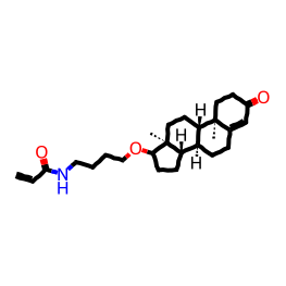 C=CC(=O)NCCCCOC1CC[C@H]2[C@@H]3CCC4=CC(=O)CC[C@]4(C)[C@H]3CC[C@]12C